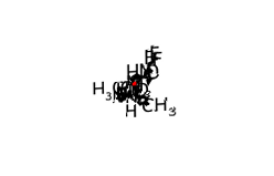 CC1CCC([C@H](NC(=O)c2ccnn2C(C)C)C(=O)Nc2cc(C(NC(=O)CCC(F)(F)F)C3CC3)ccn2)CC1